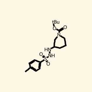 Cc1ccc(S(=O)(=O)NNC2CCCN(C(=O)OC(C)(C)C)C2)cc1